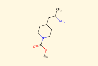 CC(N)CC1CCN(C(=O)OC(C)(C)C)CC1